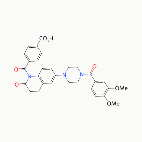 COc1ccc(C(=O)N2CCN(c3ccc4c(c3)CCC(=O)N4C(=O)c3ccc(C(=O)O)cc3)CC2)cc1OC